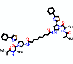 CN[C@@H](C)C(=O)N[C@H](C(=O)N1C[C@@H](NC(=O)CCCCCCCC(=O)N[C@H]2C[C@@H](c3nc(-c4ccccc4)cs3)N(C(=O)[C@@H](NC(=O)[C@H](C)NC)C(C)(C)C)C2)C[C@H]1c1nc(-c2ccccc2)cs1)C(C)(C)C